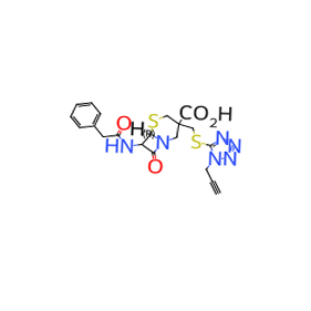 C#CCn1nnnc1SCC1(C(=O)O)CS[C@@H]2C(NC(=O)Cc3ccccc3)C(=O)N2C1